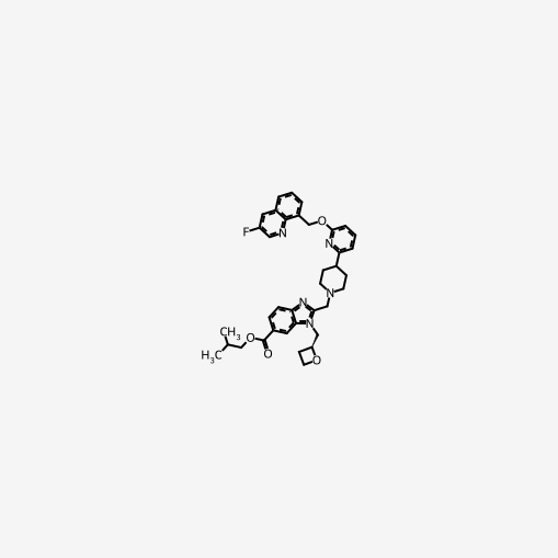 CC(C)COC(=O)c1ccc2nc(CN3CCC(c4cccc(OCc5cccc6cc(F)cnc56)n4)CC3)n(C[C@@H]3CCO3)c2c1